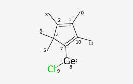 CC1=C(C)C(C)(C)[C]([Ge][Cl])=C1C